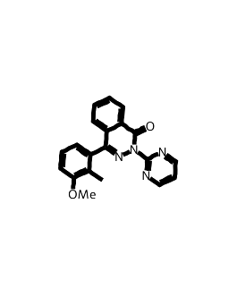 COc1cccc(-c2nn(-c3ncccn3)c(=O)c3ccccc23)c1C